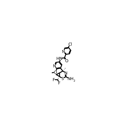 COc1ncc(NC(=O)c2ccc(Cl)cn2)cc1[C@@]1(C)N=C(N)S[C@@]2(C(F)F)CC21